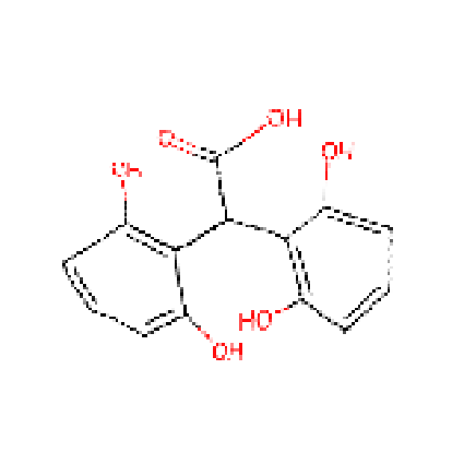 O=C(O)C(c1c(O)cccc1O)c1c(O)cccc1O